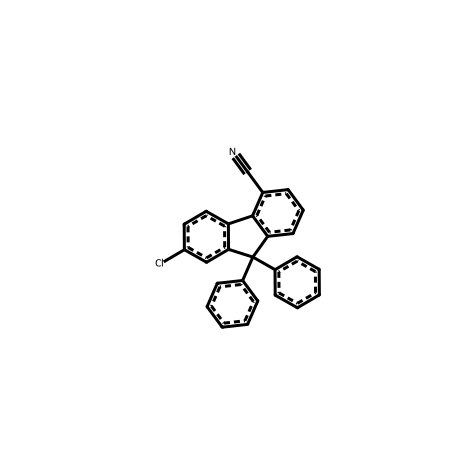 N#Cc1cccc2c1-c1ccc(Cl)cc1C2(c1ccccc1)c1ccccc1